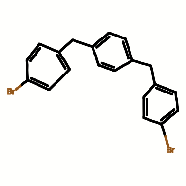 Brc1ccc(Cc2ccc(Cc3ccc(Br)cc3)cc2)cc1